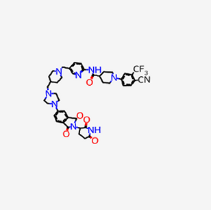 N#Cc1ccc(N2CCC(C(=O)Nc3ccc(CN4CCC(CN5CCN(c6ccc7c(c6)C(=O)N(C6CCC(=O)NC6=O)C7=O)CC5)CC4)cn3)CC2)cc1C(F)(F)F